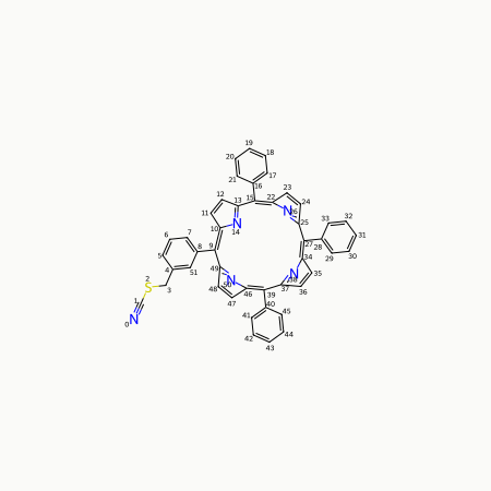 N#CSCc1cccc(C2=C3C=CC(=N3)C(c3ccccc3)=C3C=CC(=N3)C(c3ccccc3)=C3C=CC(=N3)C(c3ccccc3)=C3C=CC2=N3)c1